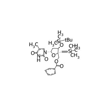 Cc1cn([C@@H]2C[C@@H](O[Si](C)(C)C(C)(C)C)[C@@](C#C[Si](C)(C)C)(COC(=O)c3ccccc3)O2)c(=O)[nH]c1=O